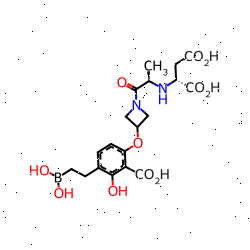 C[C@@H](N[C@H](CC(=O)O)C(=O)O)C(=O)N1CC(Oc2ccc(CCB(O)O)c(O)c2C(=O)O)C1